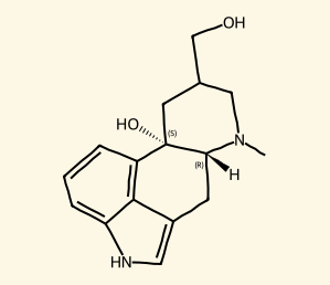 CN1CC(CO)C[C@]2(O)c3cccc4[nH]cc(c34)C[C@@H]12